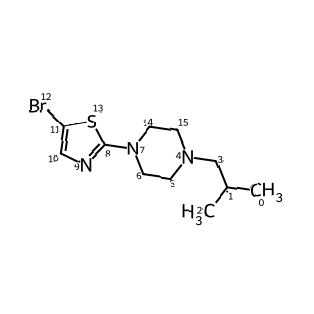 C[C](C)CN1CCN(c2ncc(Br)s2)CC1